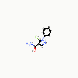 NC(=O)c1cnn(-c2ccccc2)c1F